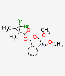 CO/C=C(\C(=O)OC)c1ccccc1COC(=O)C1(C)C(C)C1(Br)Br